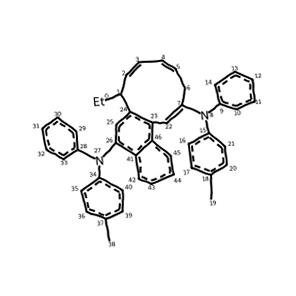 CCC1/C=C\C=C/C/C(N(c2ccccc2)c2ccc(C)cc2)=C\c2c1cc(N(c1ccccc1)c1ccc(C)cc1)c1ccccc21